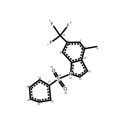 Cc1cc(C(F)(F)F)cc2c1ccn2S(=O)(=O)c1ccccc1